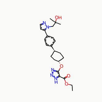 CCOC(=O)c1[nH]nnc1O[C@H]1CC[C@H](c2ccc(-c3ccnn3CC(C)(C)O)cc2)CC1